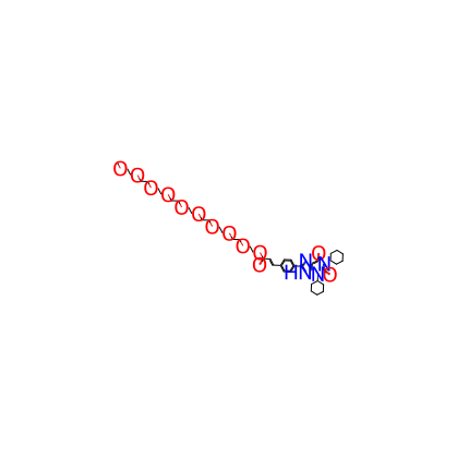 COCCOCCOCCOCCOCCOCCOCCOCCOCCOC(=O)/C=C/c1ccc(-c2nc3c(=O)n(C4CCCCC4)c(=O)n(C4CCCCC4)c3[nH]2)cc1